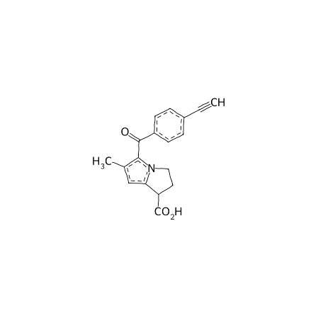 C#Cc1ccc(C(=O)c2c(C)cc3n2CCC3C(=O)O)cc1